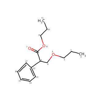 CCCOCC(C(=O)OCCC)c1ccccc1